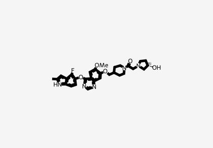 COc1cc2c(Oc3ccc4[nH]c(C)cc4c3F)ncnc2cc1OCC1CCN(C(=O)CN2CC[C@H](O)C2)CC1